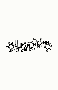 Cc1c(Nc2ccccc2)nnc(N2CCN(c3cnc(C(=O)Nc4ccccc4)cn3)[C@H](C)C2)c1C